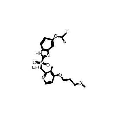 COCCCOc1ccnc(CS(=O)(=O)c2nc3cc(OC(F)F)ccc3[nH]2)c1C.[LiH]